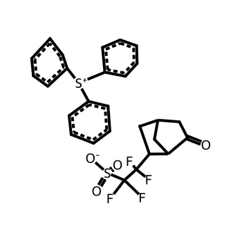 O=C1CC2CC1C(C(F)(F)C(F)(F)S(=O)(=O)[O-])C2.c1ccc([S+](c2ccccc2)c2ccccc2)cc1